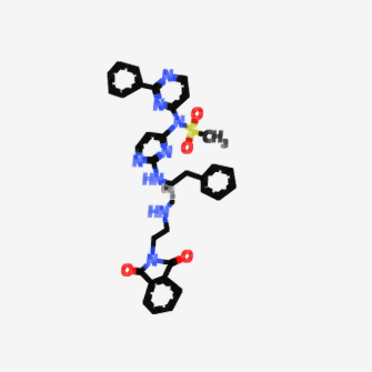 CS(=O)(=O)N(c1ccnc(N[C@@H](CNCCN2C(=O)c3ccccc3C2=O)Cc2ccccc2)n1)c1ccnc(-c2ccccc2)n1